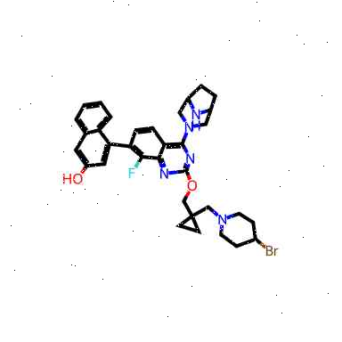 Oc1cc(-c2ccc3c(N4CC5CCC(C4)N5)nc(OCC4(CN5CCC(Br)CC5)CC4)nc3c2F)c2ccccc2c1